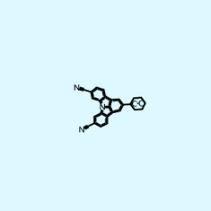 N#Cc1ccc2c3cc(C45CCC(CC4)CC5)cc4c5ccc(C#N)cc5n(c2c1)c34